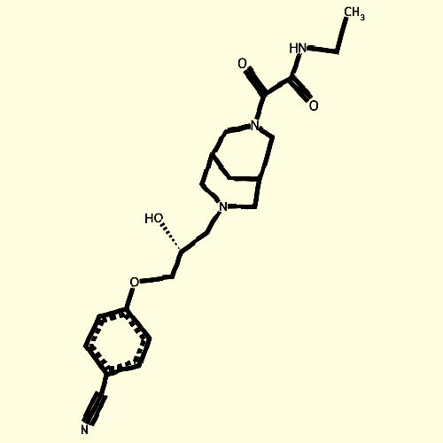 CCNC(=O)C(=O)N1CC2CC(CN(C[C@@H](O)COc3ccc(C#N)cc3)C2)C1